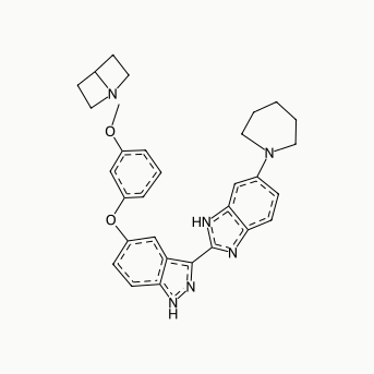 C1CN2CCC12.COc1cccc(Oc2ccc3[nH]nc(-c4nc5ccc(N6CCCCC6)cc5[nH]4)c3c2)c1